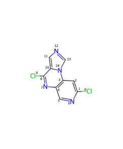 Clc1cc2c(cn1)nc(Cl)c1cncn12